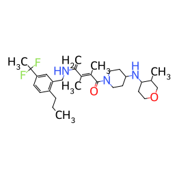 C=C(NCc1cc(C(C)(F)F)ccc1CCC)/C(C)=C(\C)C(=O)N1CCC(NC2CCOCC2C)CC1